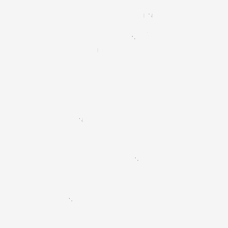 CCNC(=O)Nc1ccc(Oc2ccnc3cc(OC4CCCN(C)C4)c(C#N)cc23)cc1C